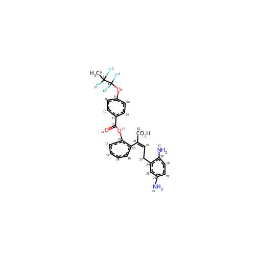 CC(F)(F)C(F)(F)Oc1ccc(C(=O)Oc2ccccc2/C(=C\Cc2cc(N)ccc2N)C(=O)O)cc1